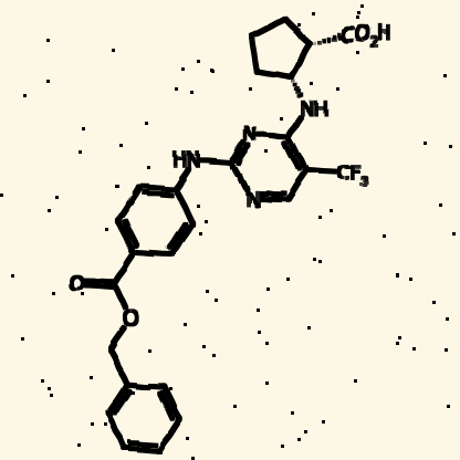 O=C(OCc1ccccc1)c1ccc(Nc2ncc(C(F)(F)F)c(N[C@@H]3CCC[C@@H]3C(=O)O)n2)cc1